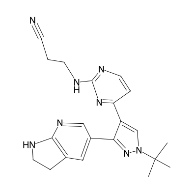 CC(C)(C)n1cc(-c2ccnc(NCCC#N)n2)c(-c2cnc3c(c2)CCN3)n1